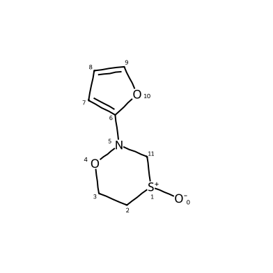 [O-][S+]1CCON(c2ccco2)C1